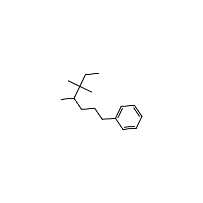 CCC(C)(C)[C](C)CCCc1ccccc1